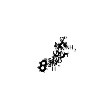 CCCCOC(=O)[C@H](C)NP(=O)(OC[C@H]1O[C@@H](n2cnc3c(OC)nc(N)nc32)[C@](C)(O)[C@@H]1F)Oc1cccc2ccccc12